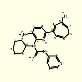 C=C(Nc1cccnc1)N(c1nc(C2=CC(C)=CCC=C2)ccc1N)C1CCCCC1